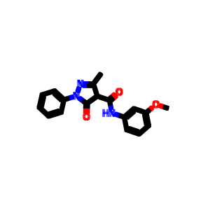 COc1cccc(NC(=O)C2C(=O)N(c3ccccc3)N=C2C)c1